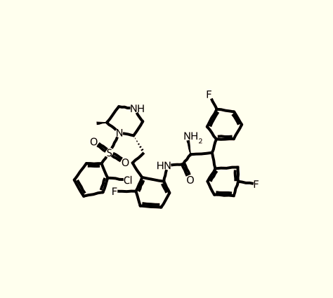 C[C@H]1CNC[C@H](CCc2c(F)cccc2NC(=O)[C@@H](N)C(c2cccc(F)c2)c2cccc(F)c2)N1S(=O)(=O)c1ccccc1Cl